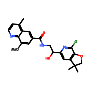 COc1cc(C(=O)NCC(O)c2cc3c(c(Cl)n2)OCC3(C)C)cc2c(C)ccnc12